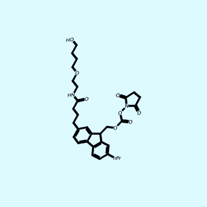 CCCc1ccc2c(c1)C(COC(=O)ON1C(=O)CCC1=O)c1cc(CCCC(=O)NCCOCCCCO)ccc1-2